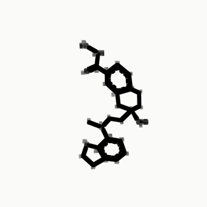 CN(CC[C@@]1(C=O)CCc2ccc(C(=O)NO)cc2C1)c1cccc2c1OCC2